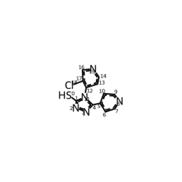 Sc1nnc(-c2ccncc2)n1-c1ccncc1Cl